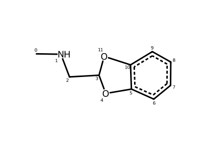 CNCC1Oc2ccccc2O1